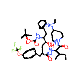 CCNC1CCN(C(=O)C(NC(=O)C(Cc2ccc(OC(F)(F)F)cc2)CC(O)C(Cc2ccccc2)NC(=O)OC(C)(C)C)C(C)CC)CC1